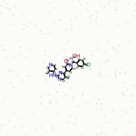 Cc1cnccc1Nc1ncc(F)c(-c2ccn([C@H](CO)c3ccc(Cl)cc3)c(=O)c2)n1